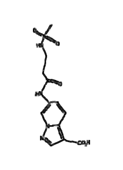 CS(=O)(=O)NCCC(=O)Nc1ccc2c(C(=O)O)cnn2c1